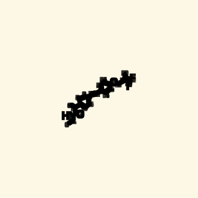 CCNC(=O)C(C)c1ccc(C#Cc2ccc(OCC3CC3(F)F)cc2)cc1